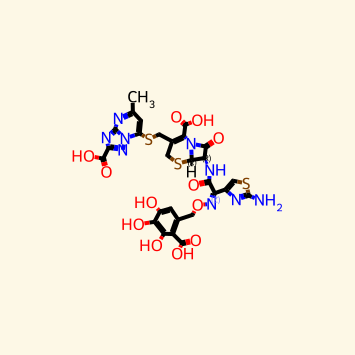 Cc1cc(SCC2=C(C(=O)O)N3C(=O)[C@@H](NC(=O)/C(=N\OCc4cc(O)c(O)c(O)c4C(=O)O)c4csc(N)n4)[C@H]3SC2)n2nc(C(=O)O)nc2n1